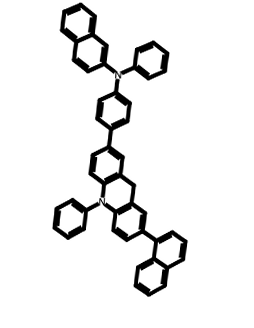 c1ccc(N(c2ccc(-c3ccc4c(c3)Cc3cc(-c5cccc6ccccc56)ccc3N4c3ccccc3)cc2)c2ccc3ccccc3c2)cc1